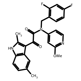 COc1cc(N(Cc2ccc(F)cc2F)C(=O)C(=O)c2c(C)[nH]c3ccc(C)cc23)ccn1